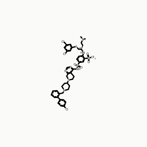 CN(C)CC[C@H](CSc1cc(Cl)cc(Cl)c1)Nc1ccc(S(=O)(=O)Nc2ncnc3c2CCN(C2CCN(Cc4ccccc4-c4ccc(Cl)cc4)CC2)C3)cc1S(=O)(=O)C(F)(F)F